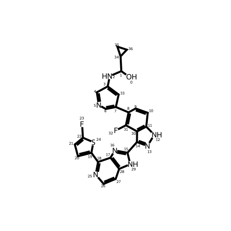 OC(Nc1cncc(-c2ccc3[nH]nc(-c4nc5c(-c6ccc(F)s6)nccc5[nH]4)c3c2F)c1)C1CC1